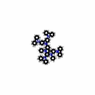 c1ccc(N2c3cc(-n4c5ccccc5c5ccccc54)ccc3B3c4ccc(-n5c6ccc(-n7c8ccccc8c8ccccc87)cc6c6cc(-n7c8ccccc8c8ccccc87)ccc65)cc4N(c4ccccc4)c4cc(-n5c6ccccc6c6ccccc65)cc2c43)cc1